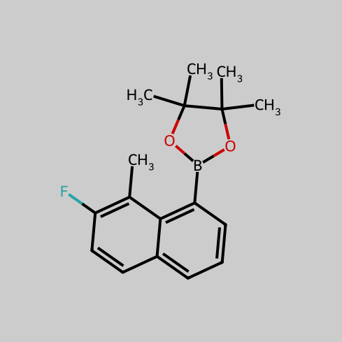 Cc1c(F)ccc2cccc(B3OC(C)(C)C(C)(C)O3)c12